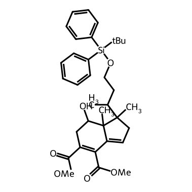 COC(=O)C1=C(C(=O)OC)C2=CCC(C)(C(C)CCO[Si](c3ccccc3)(c3ccccc3)C(C)(C)C)C2(C)C(O)C1